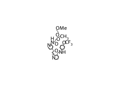 COCCOC(C)OCC(=O)Nc1cc(CSc2ncccc2C(=O)Nc2ccc(OC(F)(F)F)cc2)ccn1